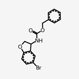 O=C(NC1COc2ccc(Br)cc21)OCc1ccccc1